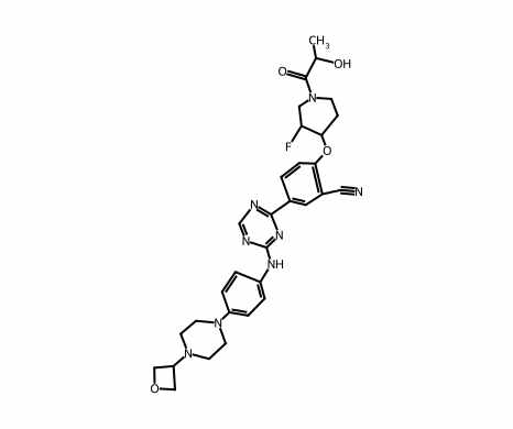 CC(O)C(=O)N1CCC(Oc2ccc(-c3ncnc(Nc4ccc(N5CCN(C6COC6)CC5)cc4)n3)cc2C#N)C(F)C1